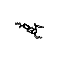 COC(=O)c1ccc(Sc2ccc(OC)cc2C(=O)OC)c([N+](=O)[O-])c1